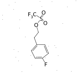 O=S(=O)(OCCc1ccc(F)cc1)C(F)(F)F